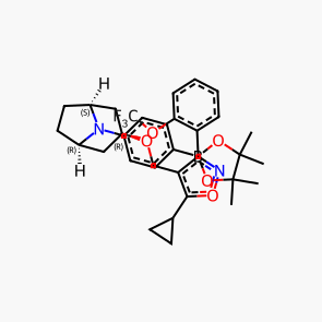 CC1(C)OB(c2ccc(N3[C@@H]4CC[C@H]3C[C@@H](OCc3c(-c5ccccc5OC(F)(F)F)noc3C3CC3)C4)cc2)OC1(C)C